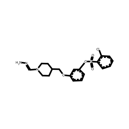 NN=CN1CCC(COc2cccc(OS(=O)(=O)c3ccccc3Cl)c2)CC1